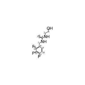 OCCNC(=S)NCc1ccc(F)c(F)c1F